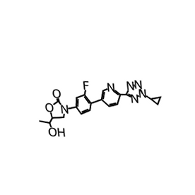 CC(O)C1CN(c2ccc(-c3ccc(-c4nnn(C5CC5)n4)nc3)c(F)c2)C(=O)O1